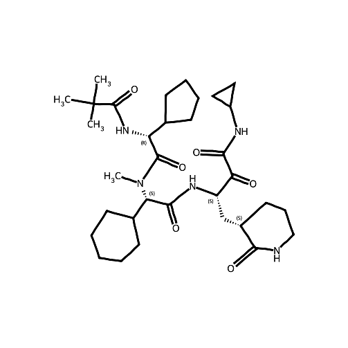 CN(C(=O)[C@H](NC(=O)C(C)(C)C)C1CCCC1)[C@H](C(=O)N[C@@H](C[C@@H]1CCCNC1=O)C(=O)C(=O)NC1CC1)C1CCCCC1